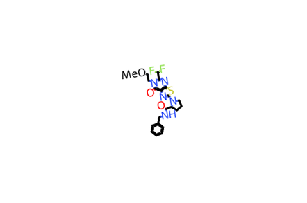 COCCn1c(C(F)F)nc2sc(N3CCCC3C(=O)NCc3ccccc3)nc2c1=O